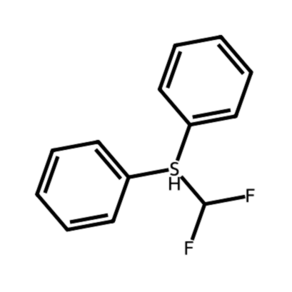 FC(F)[SH](c1ccccc1)c1ccccc1